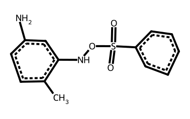 Cc1ccc(N)cc1NOS(=O)(=O)c1ccccc1